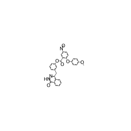 COc1ccc(Oc2ccc(N=O)cc2C(=O)Oc2cccc(Cc3n[nH]c(=O)c4ccccc34)c2)cc1